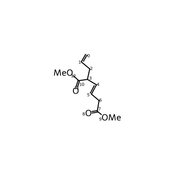 C=CCC(C=CCC(=O)OC)C(=O)OC